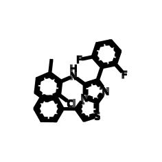 Cc1cccc(Cl)c1Nc1c(-c2c(F)cccc2F)nc2scc(-c3ccccc3)n12